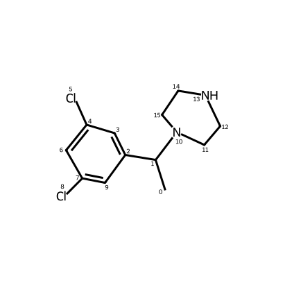 CC(c1cc(Cl)cc(Cl)c1)N1CCNCC1